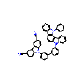 N#Cc1ccc2c(c1)c1cc(C#N)ccc1n2-c1cccc(-c2cccc(-n3c4ccccc4c4c3ccc3c5ccccc5n(-c5ccccc5)c34)c2)c1